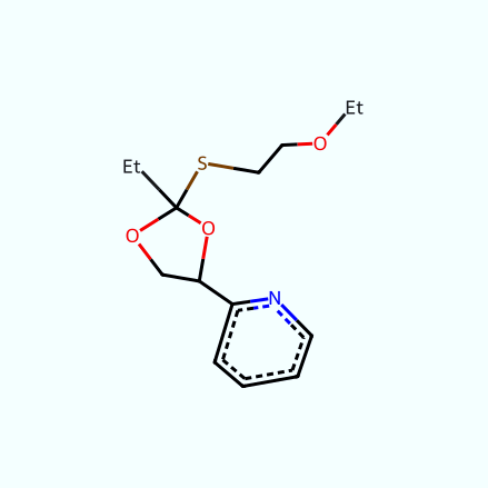 CCOCCSC1(CC)OCC(c2ccccn2)O1